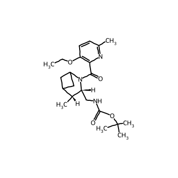 CCOc1ccc(C)nc1C(=O)N1C2CC(C2)[C@@H](C)[C@H]1CNC(=O)OC(C)(C)C